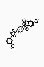 COc1cccc(-c2csc(N3CCN(S(=O)(=O)c4ccc(Cl)cc4Cl)CC3)n2)c1